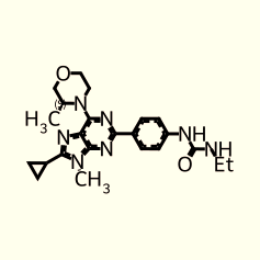 CCNC(=O)Nc1ccc(-c2nc(N3CCOC[C@@H]3C)c3nc(C4CC4)n(C)c3n2)cc1